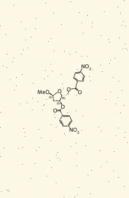 CO[C@@H]1C[C@H](OC(=O)c2ccc([N+](=O)[O-])cc2)[C@@H](COC(=O)c2ccc([N+](=O)[O-])cc2)O1